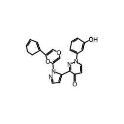 O=c1ccn(-c2cccc(O)c2)nc1-c1ccnn1C1=COC=C(C2=CC=CCC2)O1